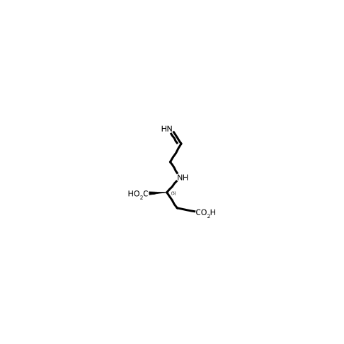 N=CCN[C@@H](CC(=O)O)C(=O)O